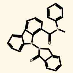 CN(C(=O)c1cccc2c3ccccc3n(N3Cc4ccccc4C3=O)c12)c1ccccc1